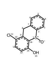 [O-][S+]1c2ccccc2Cc2c(Cl)ccc(O)c21